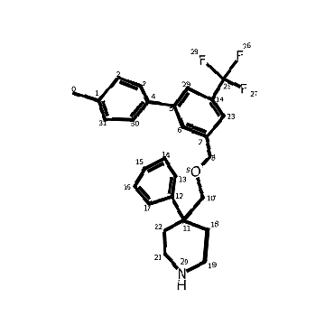 Cc1ccc(-c2cc(COCC3(c4ccccc4)CCNCC3)cc(C(F)(F)F)c2)cc1